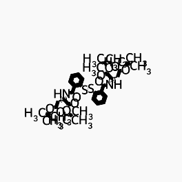 CC(C)(C)OC(=O)C[C@H](NC(=O)c1ccccc1SSc1ccccc1C(=O)N[C@@H](CC(=O)OC(C)(C)C)C(=O)OC(C)(C)C)C(=O)OC(C)(C)C